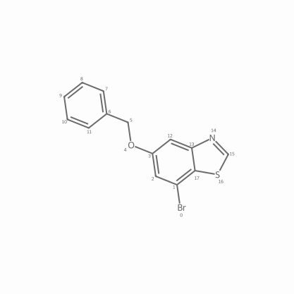 Brc1cc(OCc2ccccc2)cc2ncsc12